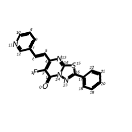 O=c1c(F)c(/C=C/c2cccnc2)nc2sc(-c3ccccc3)nn12